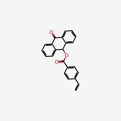 C=Cc1ccc(C(=O)OC2c3ccccc3C(=O)c3ccccc32)cc1